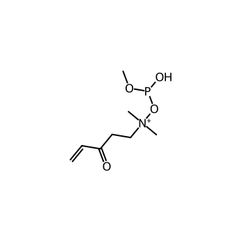 C=CC(=O)CC[N+](C)(C)OP(O)OC